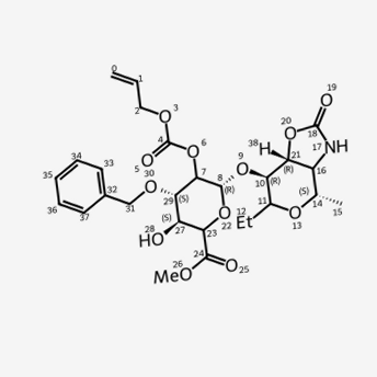 C=CCOC(=O)OC1[C@H](O[C@@H]2C(CC)O[C@@H](C)C3NC(=O)O[C@H]32)OC(C(=O)OC)[C@@H](O)[C@@H]1OCc1ccccc1